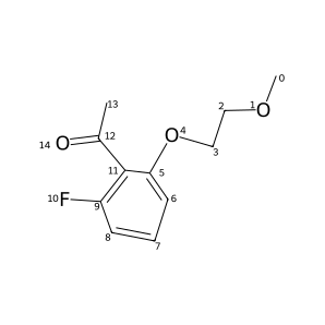 COCCOc1cccc(F)c1C(C)=O